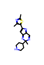 Cc1nc(C)c(C2=CC3=NC(C)(C4CCNCC4)N=CC3=N2)s1